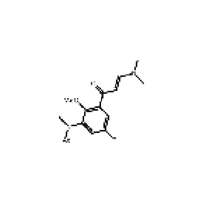 COc1c(C(=O)/C=C/N(C)C)cc(F)cc1N(C)C(C)=O